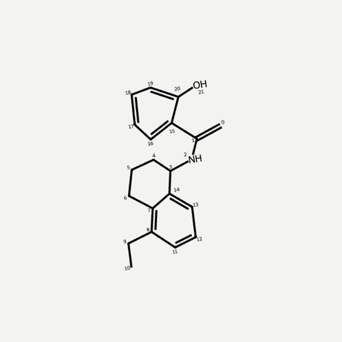 C=C(NC1CCCc2c(CC)cccc21)c1ccccc1O